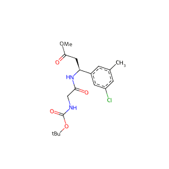 COC(=O)C[C@H](NC(=O)CNC(=O)OC(C)(C)C)c1cc(C)cc(Cl)c1